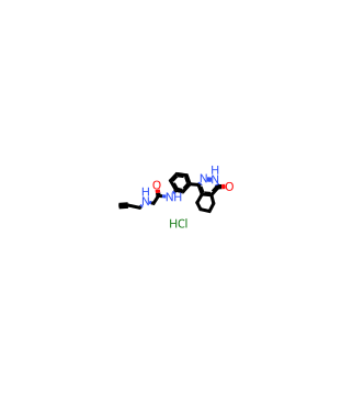 C#CCNCC(=O)Nc1cccc(-c2n[nH]c(=O)c3c2CCCC3)c1.Cl